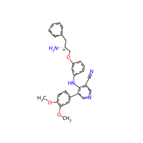 COc1ccc(-c2cncc(C#N)c2Nc2cccc(OC[C@H](N)Cc3ccccc3)c2)cc1OC